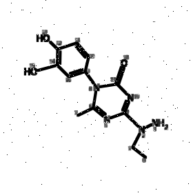 CCN(N)c1nc(C)n(-c2ccc(O)c(O)c2)c(=O)n1